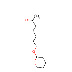 CC(=O)CCCCCOC1CCCCO1